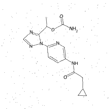 CC(OC(N)=O)c1ncnn1-c1ccc(NC(=O)CC2CC2)cn1